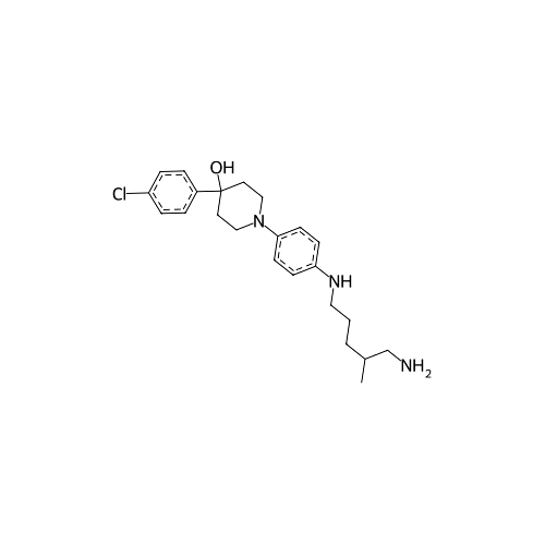 CC(CN)CCCNc1ccc(N2CCC(O)(c3ccc(Cl)cc3)CC2)cc1